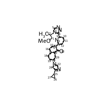 COCC(C)n1cnnc1-c1cccc(-n2ccc3ccc(-n4cnc(C5CC5)c4)cc3c2=O)n1